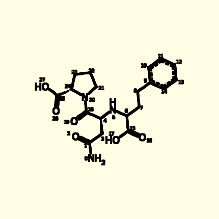 NC(=O)C[C@H](NC(CCc1ccccc1)C(=O)O)C(=O)N1CCC[C@H]1C(=O)O